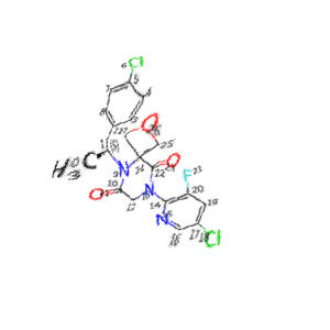 C[C@@H](c1ccc(Cl)cc1)N1C(=O)CN(c2ncc(Cl)cc2F)C(=O)C12COC2